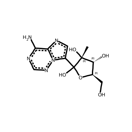 C[C@@]1(O)[C@H](O)[C@@H](CO)OC1(O)c1cnc2c(N)ncnn12